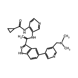 C=C(Nc1cnccc1NC(=O)C1CC1)c1n[nH]c2ccc(-c3cncc(CN(C)C)c3)cc12